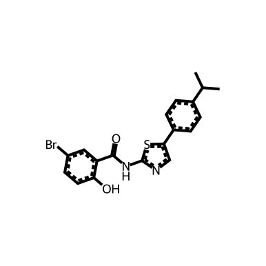 CC(C)c1ccc(-c2cnc(NC(=O)c3cc(Br)ccc3O)s2)cc1